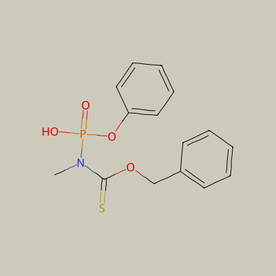 CN(C(=S)OCc1ccccc1)P(=O)(O)Oc1ccccc1